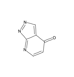 O=C1C=CN=C2N=NC=C12